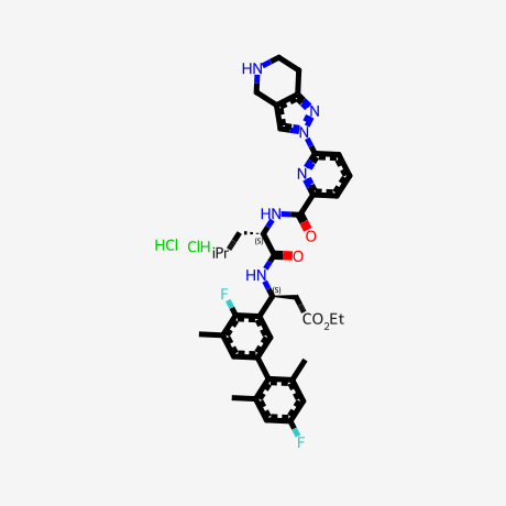 CCOC(=O)C[C@H](NC(=O)[C@H](CC(C)C)NC(=O)c1cccc(-n2cc3c(n2)CCNC3)n1)c1cc(-c2c(C)cc(F)cc2C)cc(C)c1F.Cl.Cl